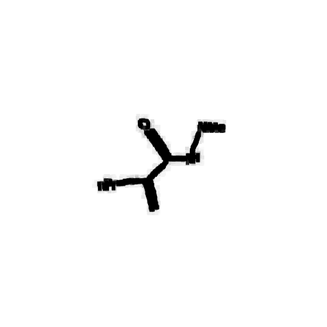 C=C(CCC)C(=O)NNC